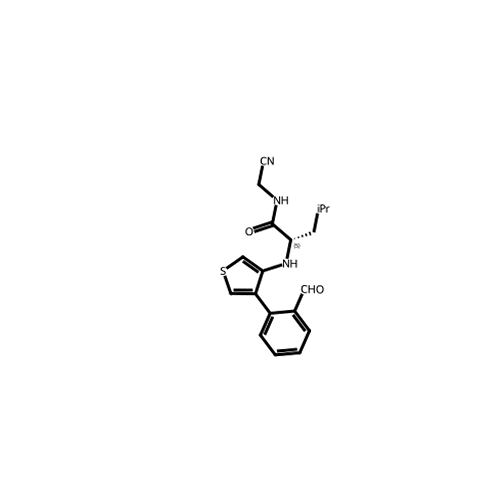 CC(C)C[C@H](Nc1cscc1-c1ccccc1C=O)C(=O)NCC#N